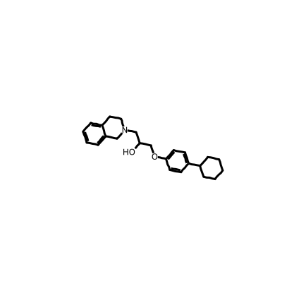 OC(COc1ccc(C2CCCCC2)cc1)CN1CCc2ccccc2C1